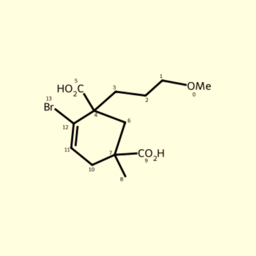 COCCCC1(C(=O)O)CC(C)(C(=O)O)CC=C1Br